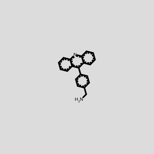 NCc1ccc(-c2c3ccccc3nc3ccccc23)cc1